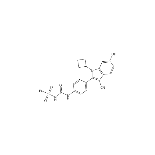 CC(C)S(=O)(=O)NC(=O)Nc1ccc(-c2c(C#N)c3ccc(O)cc3n2C2CCC2)cc1